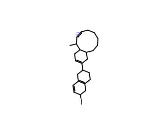 CC1/C=C\CCCCCC2CC(C3CCC4=C(C=CC(I)C4)C3)=CCC12